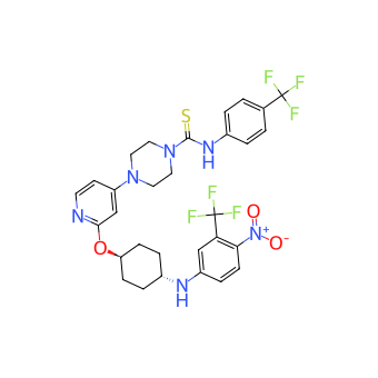 O=[N+]([O-])c1ccc(N[C@H]2CC[C@H](Oc3cc(N4CCN(C(=S)Nc5ccc(C(F)(F)F)cc5)CC4)ccn3)CC2)cc1C(F)(F)F